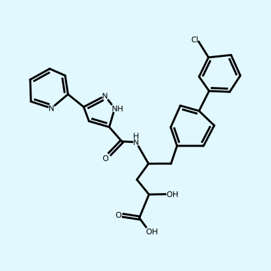 O=C(NC(Cc1ccc(-c2cccc(Cl)c2)cc1)CC(O)C(=O)O)c1cc(-c2ccccn2)n[nH]1